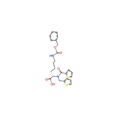 O=C(NCCCC[C@@H](C(=O)O)N(Cc1cccs1)C(=O)c1cccs1)OCc1ccccc1